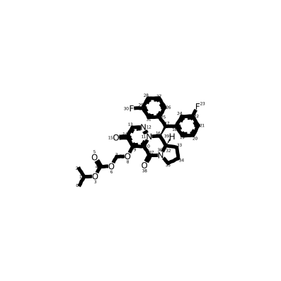 CC(C)OC(=O)OCOc1c2n(ncc1=O)[C@@H](C(c1cccc(F)c1)c1cccc(F)c1)[C@H]1CCCN1C2=O